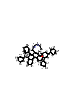 C=C1/C=C\C=C/CN(c2cc(-c3ccccc3)cc(-c3ccccc3)c2)c2c1c1c(c3ccccc23)c2ccccc2c2c1c1ccccc1n2-c1ccccc1